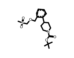 CC(C)(C)OC(=O)N1CCC(c2ccccc2COCS(C)(=O)=O)CC1